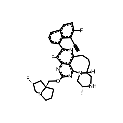 C#Cc1c(F)ccc2cccc(-c3nc4c5c(nc(OC[C@@]67CCCN6C[C@H](F)C7)nc5c3F)N3C[C@@H](C)NC[C@H]3CCC4)c12